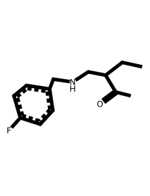 CCC(CNCc1ccc(F)cc1)C(C)=O